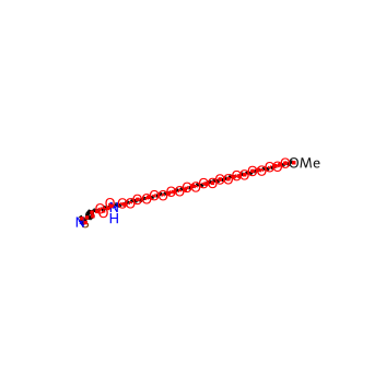 COCCOCCOCCOCCOCCOCCOCCOCCOCCOCCOCCOCCOCCOCCOCCOCCOCCOCCOCCOCCOCCOCCNC(=O)CCC(=O)OCCc1ccc(-c2scnc2C)cc1